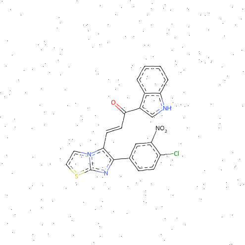 O=C(C=Cc1c(-c2ccc(Cl)c([N+](=O)[O-])c2)nc2sccn12)c1c[nH]c2ccccc12